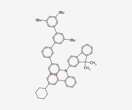 CC(C)(C)c1cc(-c2cccc(-c3cccc(N(c4ccc5c(c4)C(C)(C)c4ccccc4-5)c4ccccc4-c4cccc(C5CCCCC5)c4)c3)c2)cc(-c2cc(C(C)(C)C)cc(C(C)(C)C)c2)c1